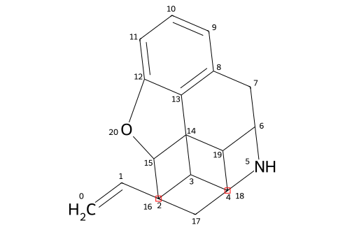 C=CCC1CNC2Cc3cccc4c3C13C(CCCC23)O4